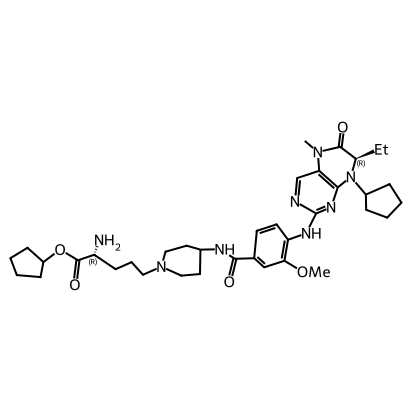 CC[C@@H]1C(=O)N(C)c2cnc(Nc3ccc(C(=O)NC4CCN(CCC[C@@H](N)C(=O)OC5CCCC5)CC4)cc3OC)nc2N1C1CCCC1